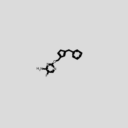 Nc1nc(OCC2=CCC(Cc3ccccc3)=C2)ncc1F